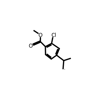 [CH2]C(C)c1ccc(C(=O)OC)c(Cl)c1